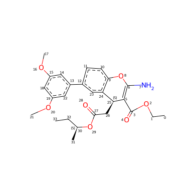 CCOC(=O)C1=C(N)Oc2ccc(-c3cc(OC)cc(OC)c3)cc2[C@@H]1CC(=O)O[C@@H](C)CC